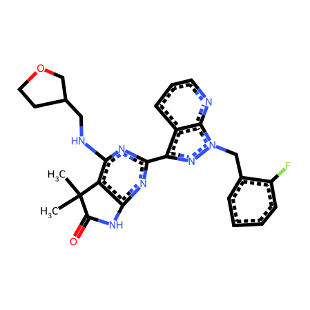 CC1(C)C(=O)Nc2nc(-c3nn(Cc4ccccc4F)c4ncccc34)nc(NCC3CCOC3)c21